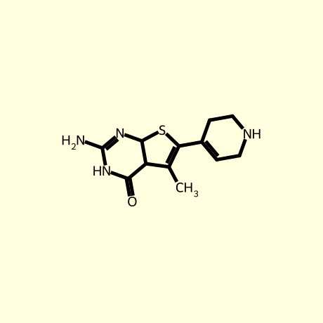 CC1=C(C2=CCNCC2)SC2N=C(N)NC(=O)C12